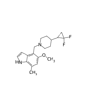 COc1cc(C)c2[nH]ccc2c1CN1CCC(C2CC2(F)F)CC1